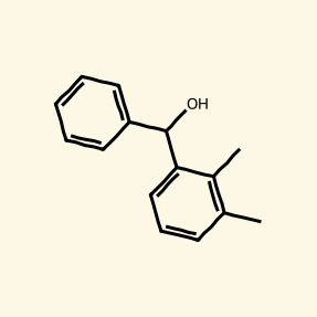 Cc1cccc(C(O)c2ccccc2)c1C